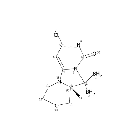 BC1(B)n2c(cc(Cl)nc2=O)N2CCOC[C@]21C